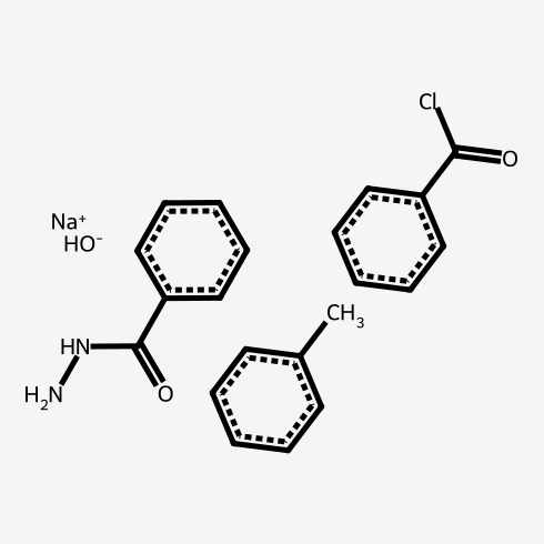 Cc1ccccc1.NNC(=O)c1ccccc1.O=C(Cl)c1ccccc1.[Na+].[OH-]